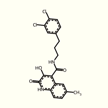 Cc1ccc2[nH]c(=O)c(O)c(C(=O)NCCCc3ccc(Cl)c(Cl)c3)c2c1